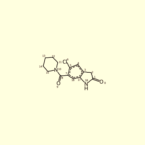 O=C1Cc2cc(Cl)c(C(=O)N3CCCCC3)cc2N1